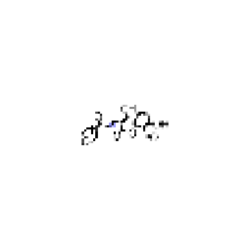 Cc1c(/C=C/C(=O)N2CCOCC2)c(=O)oc2c(C=O)c(O)ccc12